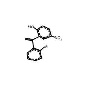 C=C(c1cc([N+](=O)[O-])ccc1O)c1ccccc1Br